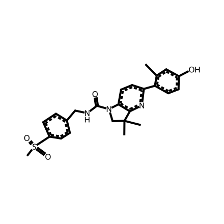 Cc1cc(O)ccc1-c1ccc2c(n1)C(C)(C)CN2C(=O)NCc1ccc(S(C)(=O)=O)cc1